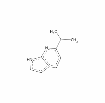 CC(C)c1ccc2cc[nH]c2n1